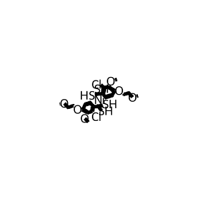 COCCOc1ccc([C](S)(S)[Ni][C](S)(S)c2ccc(OCCOC)c(OC)c2Cl)c(Cl)c1OC